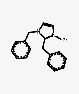 CC(C)N1C=CN(Cc2ccccc2)C1Cc1ccccc1